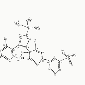 CC(C)(O)c1cn(C2(CO)C=CC(c3cccc(S(C)(=O)=O)c3)C=C2F)c(-c2c(F)cccc2F)n1